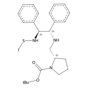 CC(C)(C)OC(=O)N1CCC[C@H]1CN[C@@H](c1ccccc1)[C@@H](NSI)c1ccccc1